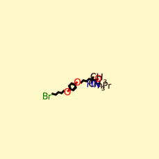 CCCNC(=O)C(C)(C)CCCCOc1ccc(OCCCCCBr)cc1